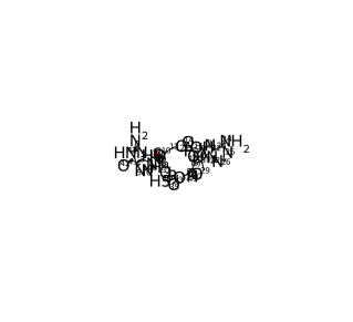 Nc1nc2c(nnn2[C@@H]2SC3COP(=O)(O)O[C@H]4C(c5cnc6c(N)ncnn56)CO[C@@H]4COP(=O)(S)O[C@@H]2[C@@H]3O)c(=O)[nH]1